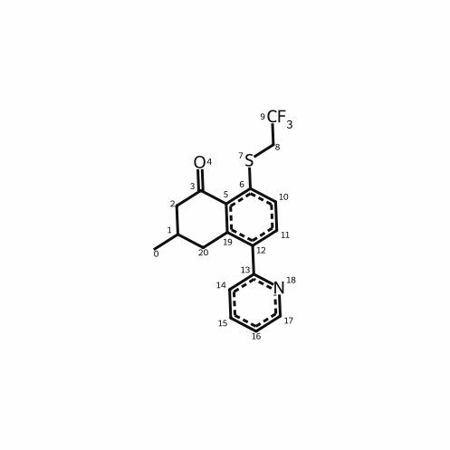 CC1CC(=O)c2c(SCC(F)(F)F)ccc(-c3ccccn3)c2C1